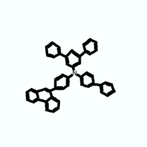 c1ccc(-c2ccc(N(c3ccc(-c4cc5ccccc5c5ccccc45)cc3)c3cc(-c4ccccc4)cc(-c4ccccc4)c3)cc2)cc1